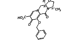 C[C@H]1CO[C@@H]2Cn3cc(C(=O)O)c(=O)c(OCc4ccccc4)c3C(=O)N12